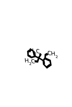 C=Cc1ccccc1C(C=C)(C=C)c1ccccc1